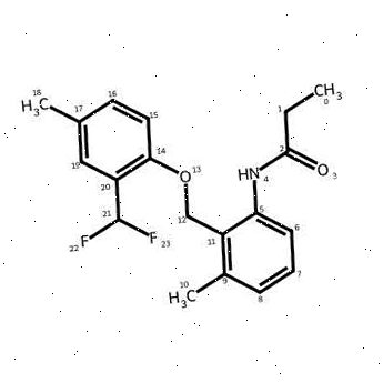 CCC(=O)Nc1cccc(C)c1COc1ccc(C)cc1C(F)F